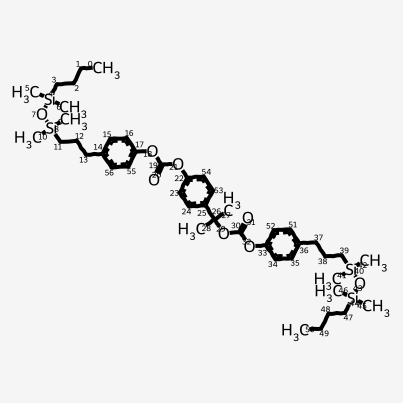 CCCC[Si](C)(C)O[Si](C)(C)CCCc1ccc(OC(=O)Oc2ccc(C(C)(C)OC(=O)Oc3ccc(CCC[Si](C)(C)O[Si](C)(C)CCCC)cc3)cc2)cc1